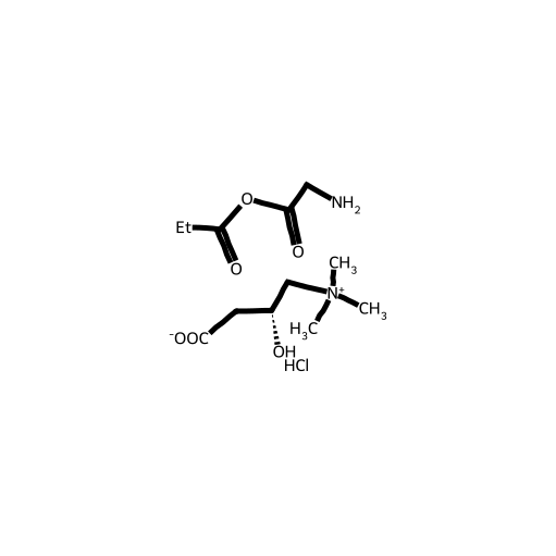 CCC(=O)OC(=O)CN.C[N+](C)(C)C[C@H](O)CC(=O)[O-].Cl